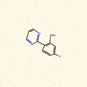 CSc1cc(I)ccc1-c1ncccn1